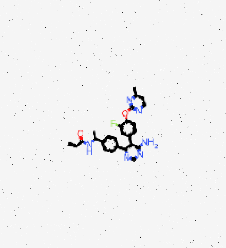 C=CC(=O)NC(C)c1ccc(-c2ncnc(N)c2-c2ccc(Oc3nccc(C)n3)c(F)c2)cc1